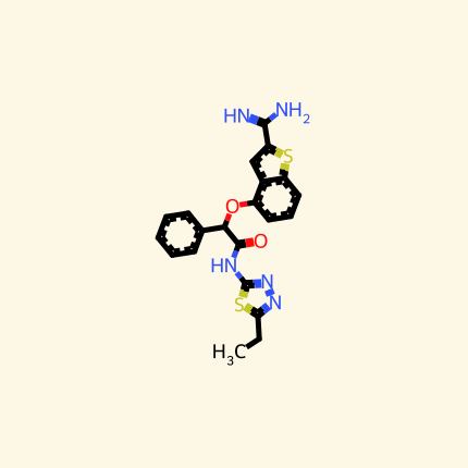 CCc1nnc(NC(=O)C(Oc2cccc3sc(C(=N)N)cc23)c2ccccc2)s1